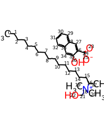 CCCCCCCCCCCCCCCCC(C)[N+](C)(C)CO.O=C([O-])c1cc2ccccc2cc1O